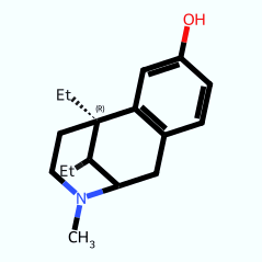 CCC1C2Cc3ccc(O)cc3[C@]1(CC)CCN2C